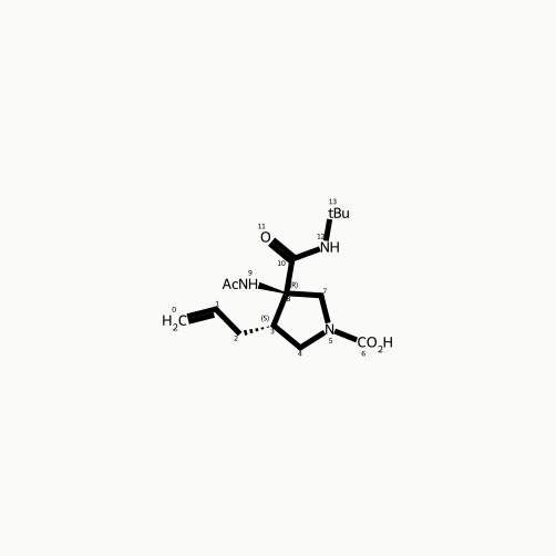 C=CC[C@H]1CN(C(=O)O)C[C@@]1(NC(C)=O)C(=O)NC(C)(C)C